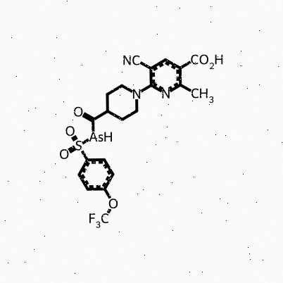 Cc1nc(N2CCC(C(=O)[AsH]S(=O)(=O)c3ccc(OC(F)(F)F)cc3)CC2)c(C#N)cc1C(=O)O